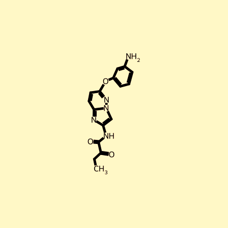 CCC(=O)C(=O)Nc1cn2nc(Oc3cccc(N)c3)ccc2n1